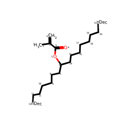 C=C(C)C(=O)OC(CCCCCCCCCCCCCCCC)CCCCCCCCCCCCCCCCC